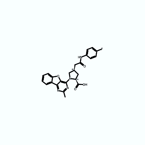 Cc1nc(N2C[C@@H](CC(=O)Nc3ccc(F)cc3)C[C@H]2C(=O)O)c2oc3ccccc3c2n1